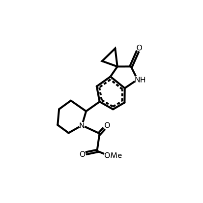 COC(=O)C(=O)N1CCCCC1c1ccc2c(c1)C1(CC1)C(=O)N2